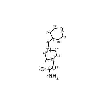 NC(=O)OC1CCN(CC2CCOCC2)CC1